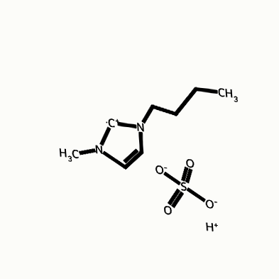 CCCCN1[C+]N(C)C=C1.O=S(=O)([O-])[O-].[H+]